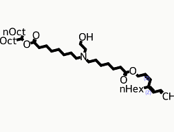 C=C/C=C(\C=C/COC(=O)CCCCCCN(CCO)CCCCCCCC(=O)OC(CCCCCCCC)CCCCCCCC)CCCCCC